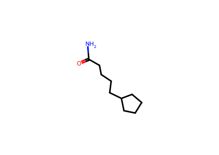 NC(=O)CCCCC1CCCC1